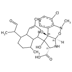 CC1=CC2C(C(C)C=O)CCC(C)C2C(C2(O)[C@@H](C(=O)O)N[C@@H]3ON(C)c4c(Cl)cccc4[C@]32O)C1